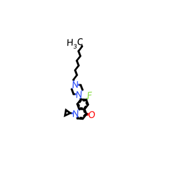 CCCCCCCCCN1CCN(c2cc3c(cc2F)c(=O)ccn3C2CC2)CC1